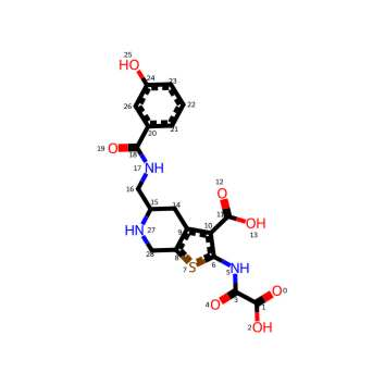 O=C(O)C(=O)Nc1sc2c(c1C(=O)O)CC(CNC(=O)c1cccc(O)c1)NC2